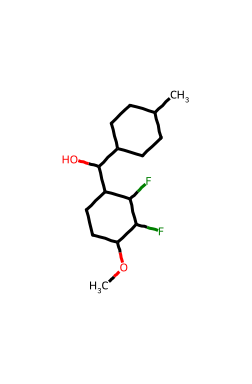 COC1CCC(C(O)C2CCC(C)CC2)C(F)C1F